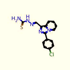 NC(=S)NN=Cc1nc(-c2ccc(Cl)cc2)n2ccccc12